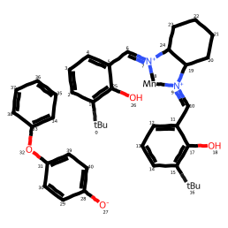 CC(C)(C)c1cccc(C=[N+]2[Mn][N+](=Cc3cccc(C(C)(C)C)c3O)C3CCCCC32)c1O.[O-]c1ccc(Oc2ccccc2)cc1